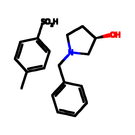 Cc1ccc(S(=O)(=O)O)cc1.O[C@@H]1CCN(Cc2ccccc2)C1